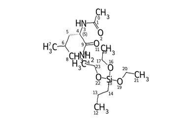 CC(=O)N[C@@H](CC(C)C)C(N)=O.CCC[Si](OCC)(OCC)OCC